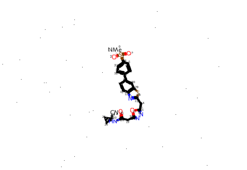 CNS(=O)(=O)c1ccc(-c2ccc3nc(Cc4nnc(CC(=O)NC5(C#N)CC5)o4)sc3c2)cc1